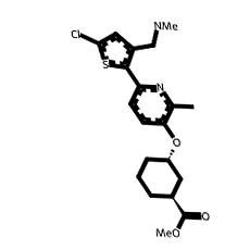 CNCc1cc(Cl)sc1-c1ccc(O[C@H]2CCC[C@H](C(=O)OC)C2)c(C)n1